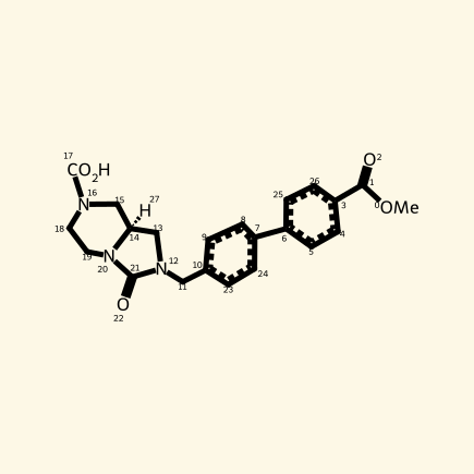 COC(=O)c1ccc(-c2ccc(CN3C[C@@H]4CN(C(=O)O)CCN4C3=O)cc2)cc1